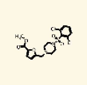 COC(=O)c1ccc(CN2CCN(S(=O)(=O)c3c(Cl)cccc3Cl)CC2)o1